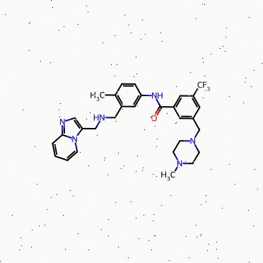 Cc1ccc(NC(=O)c2cc(CN3CCN(C)CC3)cc(C(F)(F)F)c2)cc1CNCc1cnc2ccccn12